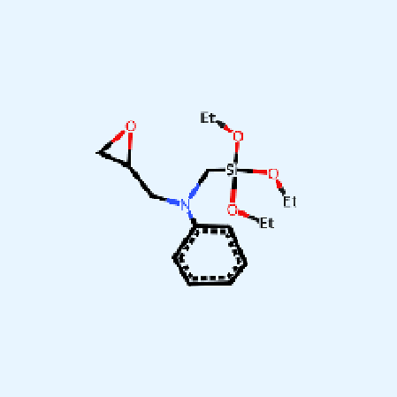 CCO[Si](CN(CC1CO1)c1ccccc1)(OCC)OCC